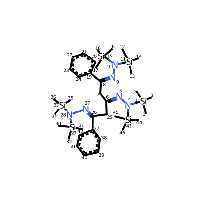 C[Si](C)(C)N(N=C(CC(=NN([Si](C)(C)C)[Si](C)(C)C)c1ccccc1)CC(=NN([Si](C)(C)C)[Si](C)(C)C)c1ccccc1)[Si](C)(C)C